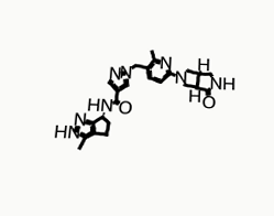 Cc1nc(N2C[C@@H]3CNC(=O)[C@@H]3C2)ccc1Cn1cc(C(=O)N[C@@H]2CCc3c2n[nH]c3C)cn1